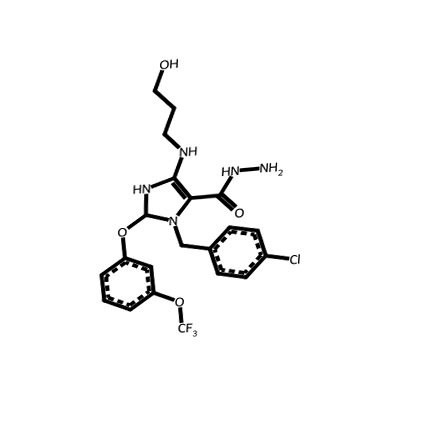 NNC(=O)C1=C(NCCCO)NC(Oc2cccc(OC(F)(F)F)c2)N1Cc1ccc(Cl)cc1